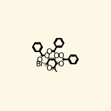 C[C@H]1O[C@H](Br)[C@@H](OC(=O)c2ccccc2)[C@@H](OC(=O)c2ccccc2)[C@@H]1OC(=O)c1ccccc1